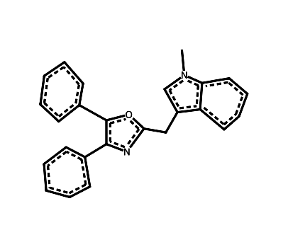 Cn1cc(Cc2nc(-c3ccccc3)c(-c3ccccc3)o2)c2ccccc21